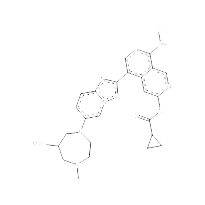 CCNc1ncc(-c2nc3ccc(N4CCN(C)CC(OC)C4)cn3n2)c2cc(NC(=O)C3CC3)ncc12